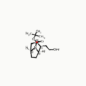 CC(C)(C)OC(=O)N1[C@H]2CC[C@@H]1[C@H](CCO)NC2